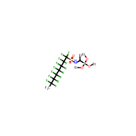 CCO[Si](OCC)(OCC)C(CC)NS(=O)(=O)C(F)(F)C(F)(F)C(F)(F)C(F)(F)C(F)(F)C(F)(F)C(F)(F)C(F)(F)F